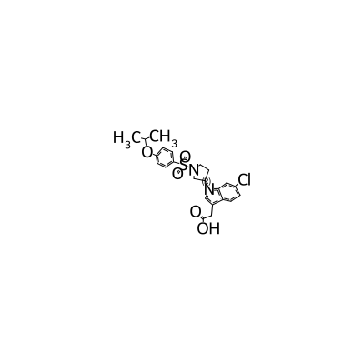 CC(C)Oc1ccc(S(=O)(=O)N2CC[C@@H](n3cc(CC(=O)O)c4ccc(Cl)cc43)C2)cc1